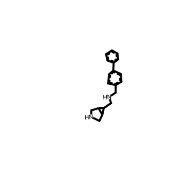 c1ccc(-c2ccc(CNCC3C4CNCC34)cc2)cc1